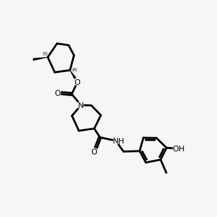 Cc1cc(CNC(=O)C2CCN(C(=O)O[C@@H]3CCC[C@H](C)C3)CC2)ccc1O